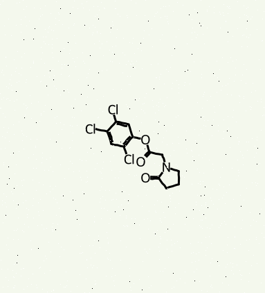 O=C(CN1CCCC1=O)Oc1cc(Cl)c(Cl)cc1Cl